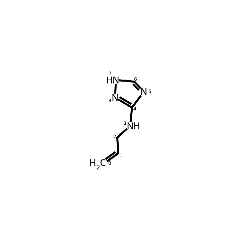 C=CCNc1nc[nH]n1